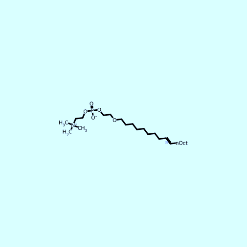 CCCCCCCC/C=C/CCCCCCCCOCCOP(=O)([O-])OCC[N+](C)(C)C